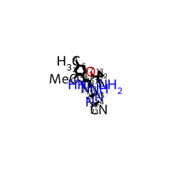 COc1cc(C)cc(OCC2(CN)CC2)c1-c1cc(Nc2cnc(C#N)cn2)n[nH]1